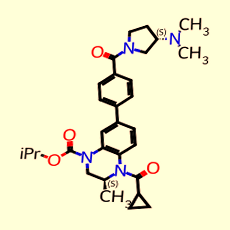 CC(C)OC(=O)N1C[C@H](C)N(C(=O)C2CC2)c2ccc(-c3ccc(C(=O)N4CC[C@H](N(C)C)C4)cc3)cc21